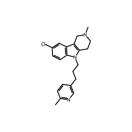 Cc1ccc(CCCn2c3c(c4cc(Cl)ccc42)CN(C)CC3)cn1